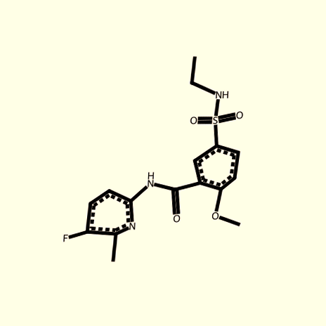 CCNS(=O)(=O)c1ccc(OC)c(C(=O)Nc2ccc(F)c(C)n2)c1